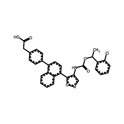 CC(OC(=O)Nc1cnoc1-c1ccc(-c2ccc(CC(=O)O)cc2)c2ccccc12)c1ccccc1Cl